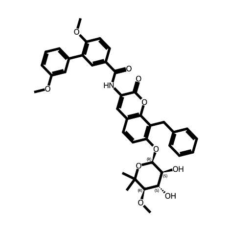 COc1cccc(-c2cc(C(=O)Nc3cc4ccc(O[C@@H]5OC(C)(C)[C@H](OC)[C@@H](O)[C@@H]5O)c(Cc5ccccc5)c4oc3=O)ccc2OC)c1